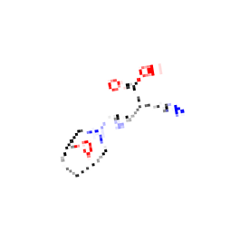 N#CC(/C=C/N1CC2CCC(C1)O2)C(=O)O